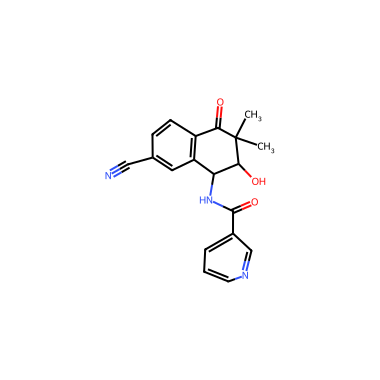 CC1(C)C(=O)c2ccc(C#N)cc2C(NC(=O)c2cccnc2)C1O